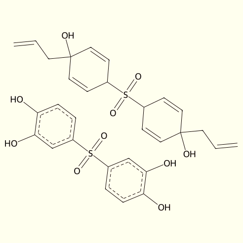 C=CCC1(O)C=CC(S(=O)(=O)C2C=CC(O)(CC=C)C=C2)C=C1.O=S(=O)(c1ccc(O)c(O)c1)c1ccc(O)c(O)c1